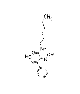 CCCCCCNC(=O)C(=NO)C(=NO)c1cccnc1